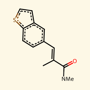 CNC(=O)/C(C)=C/c1ccc2sccc2c1